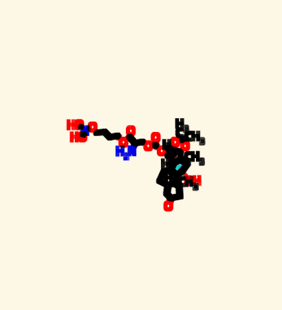 CC1(C)O[C@@H]2C[C@H]3[C@@H]4CCC5=CC(=O)C=C[C@]5(C)[C@@]4(F)[C@@H](O)C[C@]3(C)[C@]2(C(=O)COC(=O)OCC(N)C(=O)OCCCCON(O)O)O1